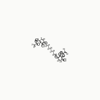 C=C(C)C(=O)Oc1c(Cl)ccc(OCCCCCCCCOc2ccc(Cl)c(OC(=O)C(=C)C)c2Cl)c1Cl